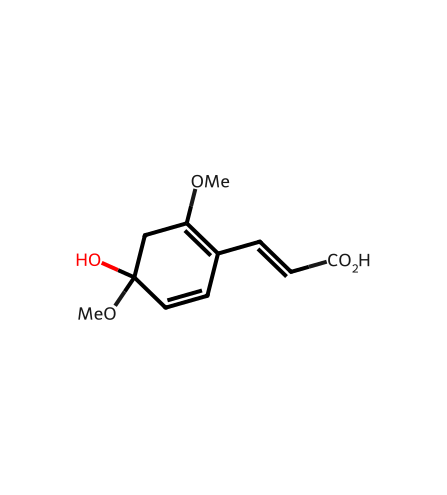 COC1=C(/C=C/C(=O)O)C=CC(O)(OC)C1